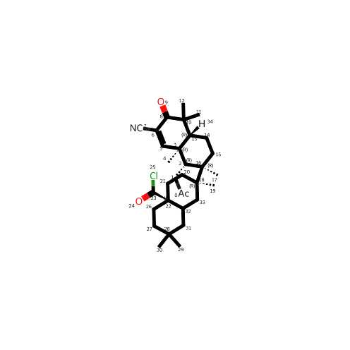 CC(=O)C[C@@H]1[C@@]2(C)C=C(C#N)C(=O)C(C)(C)[C@@H]2CC[C@@]1(C)[C@]1(C)CC[C@@]2(C(=O)Cl)CCC(C)(C)CC2C1